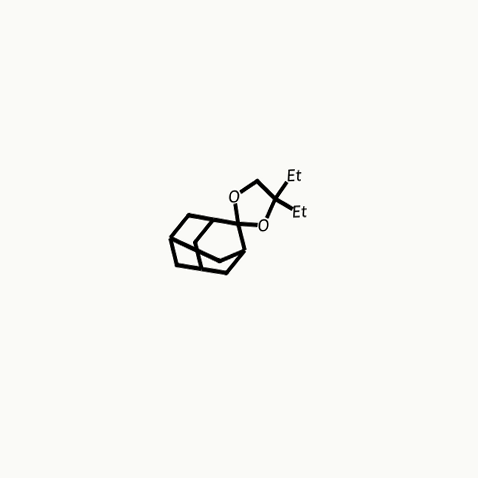 CCC1(CC)COC2(O1)C1CC3CC(C1)CC2C3